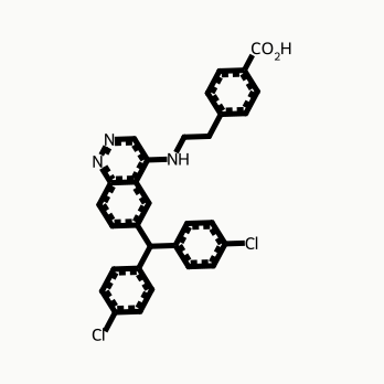 O=C(O)c1ccc(CCNc2cnnc3ccc(C(c4ccc(Cl)cc4)c4ccc(Cl)cc4)cc23)cc1